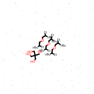 CCCCC(CC)COCC(CC)CCCC.CCCCC(CC)COCC(CC)CCCC.CCCCC(CC)COCC(CC)CCCC.OCC(CO)(CO)CO